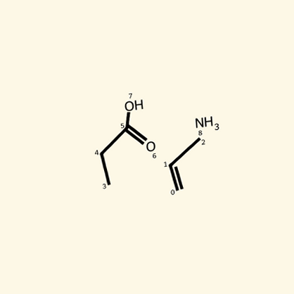 C=CC.CCC(=O)O.N